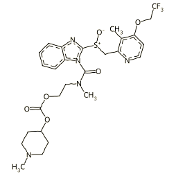 Cc1c(OCC(F)(F)F)ccnc1C[S+]([O-])c1nc2ccccc2n1C(=O)N(C)CCOC(=O)OC1CCN(C)CC1